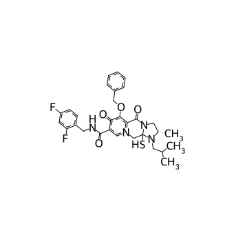 CC(C)CN1[C@@H](C)CN2C(=O)c3c(OCc4ccccc4)c(=O)c(C(=O)NCc4ccc(F)cc4F)cn3CC21S